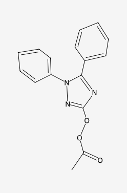 CC(=O)OOc1nc(-c2ccccc2)n(-c2ccccc2)n1